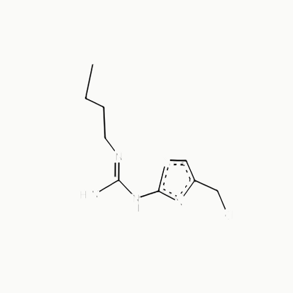 CCCCN=C(N)Nc1nc(CCl)cs1